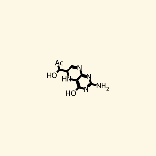 CC(=O)C(O)C1C=Nc2nc(N)nc(O)c2N1